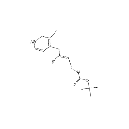 CC1=C(C/C(F)=C/CNC(=O)OC(C)(C)C)C=CNC1